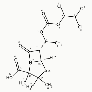 CC(OC(=O)OC(Cl)C(Cl)Cl)[C@H]1C(=O)N2[C@@H]1SC(C)(C)C2(C)C(=O)O